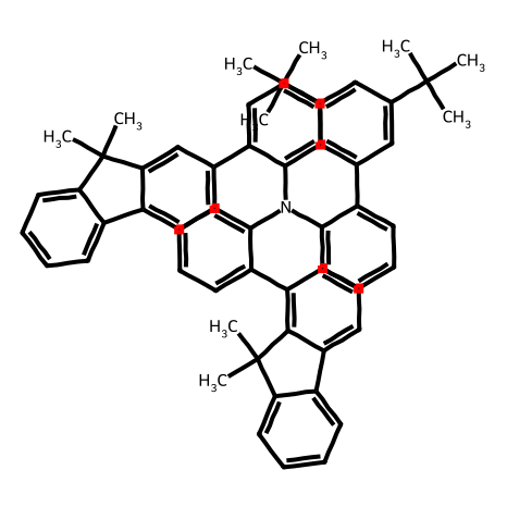 CC(C)(C)c1cc(-c2ccccc2N(c2ccccc2-c2ccc3c(c2)C(C)(C)c2ccccc2-3)c2ccccc2-c2cccc3c2C(C)(C)c2ccccc2-3)cc(C(C)(C)C)c1